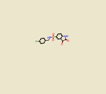 O=C1Nc2ccc(S(=O)(=O)NCc3ccc(F)cc3)cc2C1=O